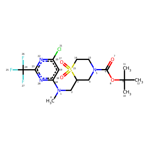 CN(CC1CN(C(=O)OC(C)(C)C)CCS1(=O)=O)c1cc(Cl)nc(C(F)(F)F)n1